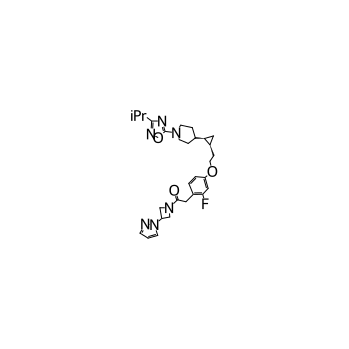 CC(C)c1noc(N2CCC([C@H]3C[C@H]3CCOc3ccc(CC(=O)N4CC(n5cccn5)C4)c(F)c3)CC2)n1